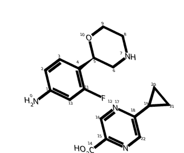 Nc1ccc([C@@H]2CNCCO2)c(F)c1.O=C(O)c1cnc(C2CC2)cn1